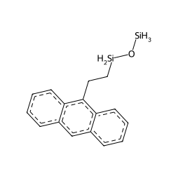 [SiH3]O[SiH2]CCc1c2ccccc2cc2ccccc12